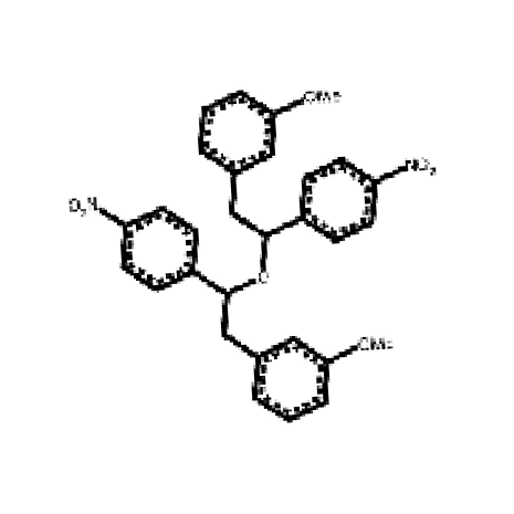 COc1cccc(CC(OC(Cc2cccc(OC)c2)c2ccc([N+](=O)[O-])cc2)c2ccc([N+](=O)[O-])cc2)c1